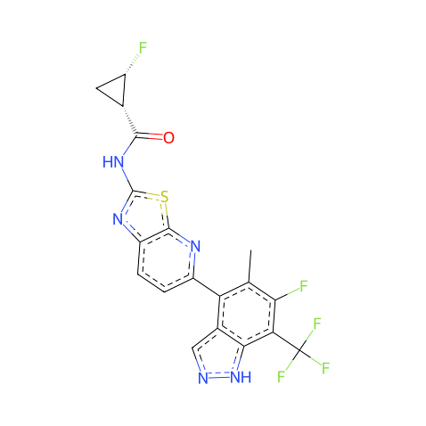 Cc1c(F)c(C(F)(F)F)c2[nH]ncc2c1-c1ccc2nc(NC(=O)[C@@H]3C[C@@H]3F)sc2n1